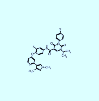 Cc1nn(C)cc1-c1cc(Oc2ccc(NC(=O)c3cn(C(C)C)c(=O)n(-c4ccc(F)cc4)c3=O)cc2F)ccn1